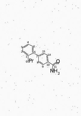 CC(C)c1ccccc1-c1ccc(C(N)=O)cc1